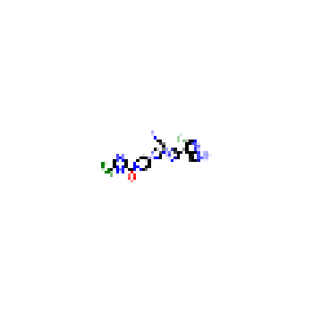 N#CCC1(n2cc(-c3c(F)cnc4[nH]ccc34)cn2)CN(C2CCN(C(=O)c3cncc(C(F)(F)F)n3)CC2)C1